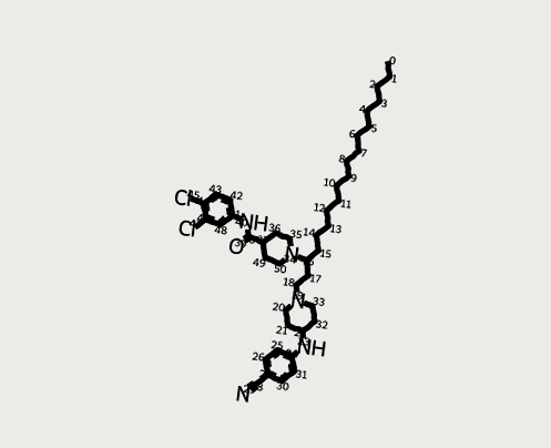 CCCCCCCCCCCCCCCCC(CCN1CCC(Nc2ccc(C#N)cc2)CC1)N1CCC(C(=O)Nc2ccc(Cl)c(Cl)c2)CC1